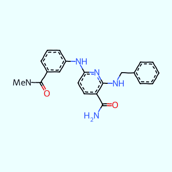 CNC(=O)c1cccc(Nc2ccc(C(N)=O)c(NCc3ccccc3)n2)c1